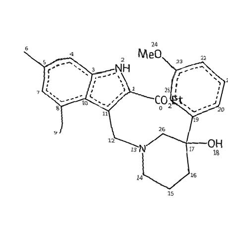 CCOC(=O)c1[nH]c2cc(C)cc(C)c2c1CN1CCCC(O)(c2cccc(OC)c2)C1